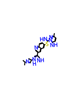 Cc1ccc(=N)n(C(=N)Sc2ccc3ncc(/C(C=N)=C/NC4CN(C(C)C)C4)cc3c2)n1